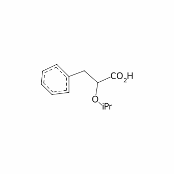 CC(C)OC(Cc1ccccc1)C(=O)O